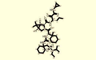 CCC[C@H](NC(=O)[C@@H]1[C@@H]2[C@H](CN1C(=O)[C@@H](NC(=O)NC1(CS(=O)(=O)N(CC)C(C)C)CCCCC1)C1(C)CCCCC1)C2(C)C)C(=O)C(=O)NC1CC1